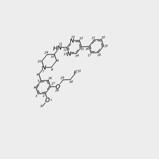 COc1ccc(CN2CCC(Nc3ncc(-c4ccccc4)cn3)CC2)cc1OCCF